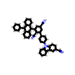 N#Cc1cc(-c2ccc(-n3c4ccccc4c4cc(C#N)ccc43)cc2)c(C#N)c(-c2c3ccccc3c(-c3ccccc3)c3ccccc23)c1